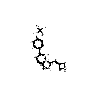 FC(F)(F)Oc1ccc(-c2ccc3nnc(C=C4COC4)n3n2)cc1